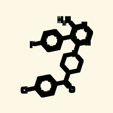 Nc1ncnc(N2CCC(C(=O)c3ccc(Cl)cc3)CC2)c1-c1ccc(F)cc1